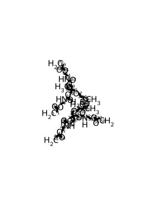 C=CC(=O)OCCNC(=O)OCC(CC)(COCCC[Si](C)(C)O[Si](C)(C)CCCOCC(CC)(COC(=O)NCCOC(=O)C=C)COC(=O)NCCOC(=O)C=C)COC(=O)NCCOC(=O)C=C